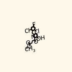 CCOC(=O)CCC(=O)c1nc(Cc2c(Cl)cc(F)cc2Cl)ccc1O